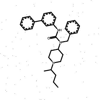 CCCC(C)N1CCC(N(Cc2ccccc2)C(=O)Nc2cccc(-c3ccccc3)c2)CC1